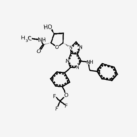 CNC(=O)[C@H]1O[C@@H](n2cnc3c(NCc4ccccc4)nc(-c4cccc(OC(F)(F)F)c4)nc32)C[C@@H]1O